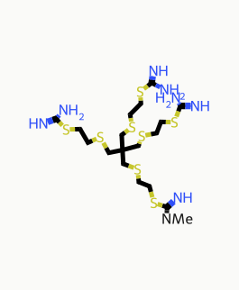 CNC(=N)SCCSCC(CSCCSC(=N)N)(CSCCSC(=N)N)CSCCSC(=N)N